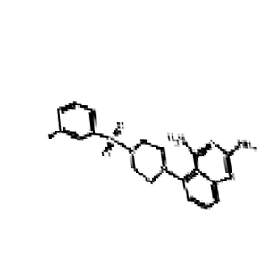 Cc1cccc(S(=O)(=O)N2CCN(c3cccc4nc(N)nc(N)c34)CC2)c1